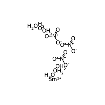 O.O.O.O.O.O.O=[N+]([O-])[O-].O=[N+]([O-])[O-].O=[N+]([O-])[O-].[Sm+3]